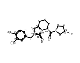 O=C([C@@H]1CCCc2nn(Cc3ccc(F)c(Cl)c3)c(=O)n21)N1CC[C@H](F)C1